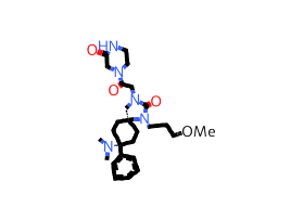 COCCCN1C(=O)N(CC(=O)N2CCNC(=O)C2)C[C@]12CC[C@@](c1ccccc1)(N(C)C)CC2